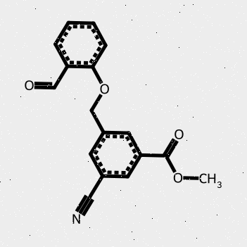 COC(=O)c1cc(C#N)cc(COc2ccccc2C=O)c1